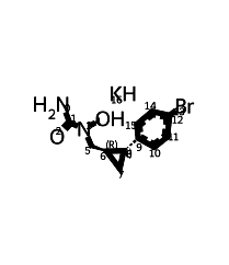 NC(=O)N(O)C[C@@H]1C[C@H]1c1ccc(Br)cc1.[KH]